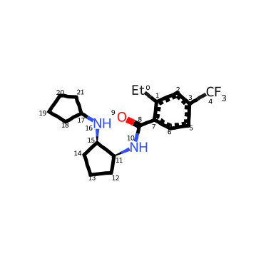 CCc1cc(C(F)(F)F)ccc1C(=O)N[C@H]1CCC[C@H]1NC1CCCC1